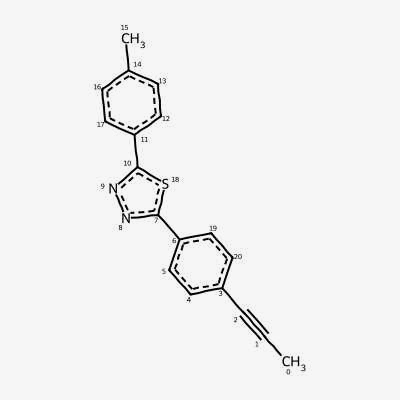 CC#Cc1ccc(-c2nnc(-c3ccc(C)cc3)s2)cc1